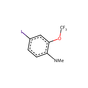 CNc1ccc(I)cc1OC(F)(F)F